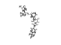 C=N/N=C(\SCc1cncc(N2CCC3(CN(c4cnc(C(F)(F)F)nc4)C3)C2)n1)C(F)(F)F